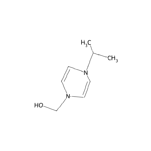 CC(C)N1C=CN(CO)C=C1